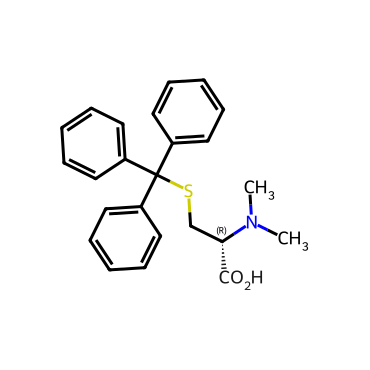 CN(C)[C@@H](CSC(c1ccccc1)(c1ccccc1)c1ccccc1)C(=O)O